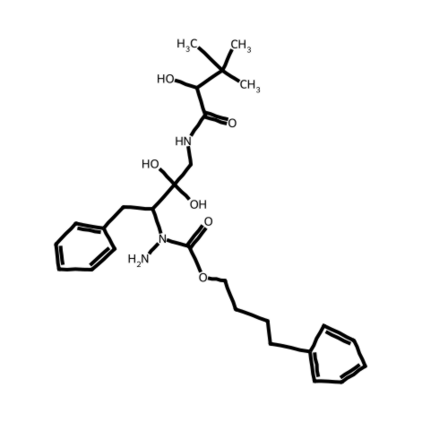 CC(C)(C)C(O)C(=O)NCC(O)(O)C(Cc1ccccc1)N(N)C(=O)OCCCCc1ccccc1